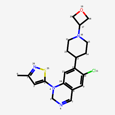 Cc1cc(N2CN=Cc3cc(Cl)c(C4CCN(C5COC5)CC4)cc32)sn1